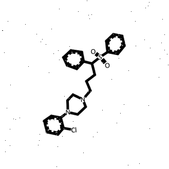 O=S(=O)(c1ccccc1)C(CCCN1CCN(c2ccccc2Cl)CC1)c1ccccc1